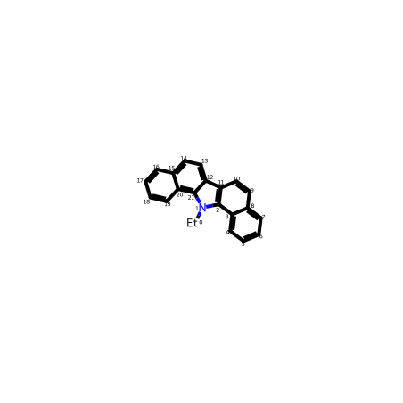 CCn1c2c3ccccc3ccc2c2ccc3ccccc3c21